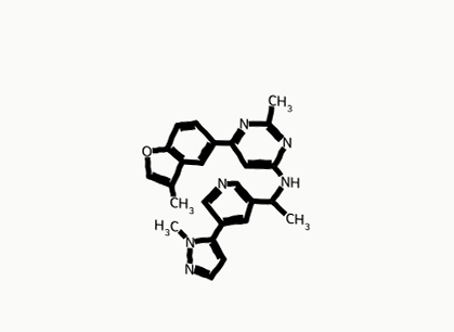 Cc1nc(NC(C)c2cncc(-c3ccnn3C)c2)cc(-c2ccc3occ(C)c3c2)n1